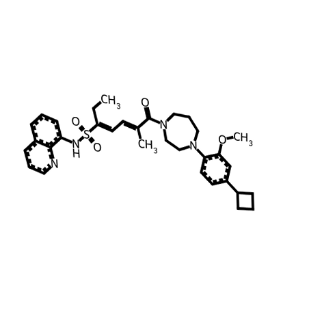 CC/C(=C\C=C(/C)C(=O)N1CCCN(c2ccc(C3CCC3)cc2OC)CC1)S(=O)(=O)Nc1cccc2cccnc12